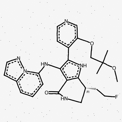 COC(C)(C)COc1cnccc1-c1[nH]c2c(c1Nc1cccc3ccnn13)C(=O)NC[C@H]2CCF